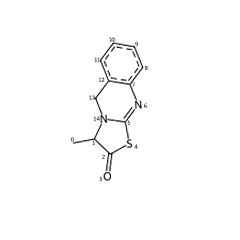 CC1C(=O)SC2=Nc3ccccc3CN21